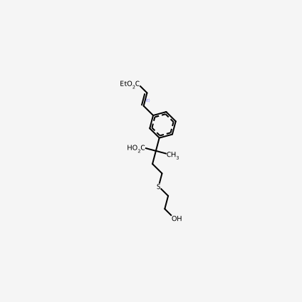 CCOC(=O)/C=C/c1cccc(C(C)(CCSCCO)C(=O)O)c1